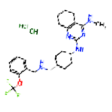 CNc1nc(N[C@H]2CC[C@@H](CNCc3ccccc3OC(F)(F)F)CC2)nc2c1CCCC2.Cl.Cl